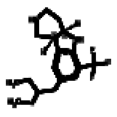 CCC(CC)Cc1cc2c(c(C(F)(F)F)c1)N[C@@H]1CCNC[C@H]21